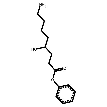 NCCCCC(O)CCC(=O)Oc1ccccc1